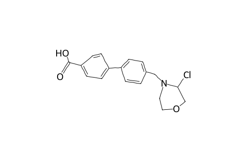 O=C(O)c1ccc(-c2ccc(CN3CCOCC3Cl)cc2)cc1